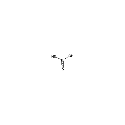 [OH][SbH](=[S])[SH]